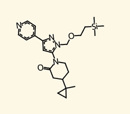 CC1(C2CCN(c3cc(-c4ccncc4)nn3COCC[Si](C)(C)C)C(=O)C2)CC1